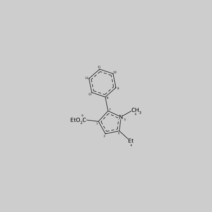 CCOC(=O)c1cc(CC)n(C)c1-c1ccccc1